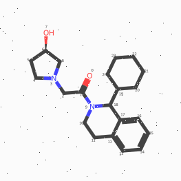 O=C(CN1CC[C@@H](O)C1)N1CCc2ccccc2C1C1CCCCC1